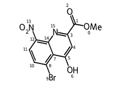 COC(=O)c1cc(O)c2c(Br)ccc([N+](=O)[O-])c2n1